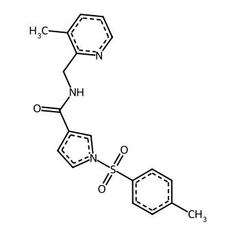 Cc1ccc(S(=O)(=O)n2ccc(C(=O)NCc3ncccc3C)c2)cc1